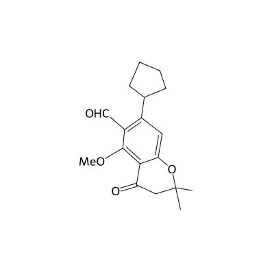 COc1c(C=O)c(C2CCCC2)cc2c1C(=O)CC(C)(C)O2